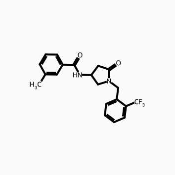 Cc1cccc(C(=O)NC2CC(=O)N(Cc3ccccc3C(F)(F)F)C2)c1